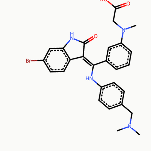 CN(C)Cc1ccc(NC(=C2C(=O)Nc3cc(Br)ccc32)c2cccc(N(C)CC(=O)O)c2)cc1